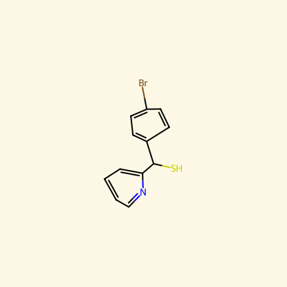 SC(c1ccc(Br)cc1)c1ccccn1